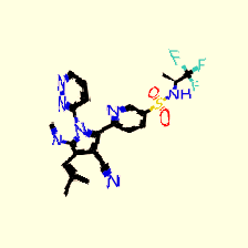 C=Nc1c(C=C(C)C)c(C#N)c(-c2ccc(S(=O)(=O)N[C@@H](C)C(F)(F)F)cn2)n1-c1cccnn1